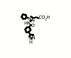 O=C(O)CCc1cn(-c2ccccc2)c(NC(=O)c2cccc(-c3cn[nH]c3)c2)n1